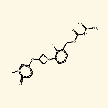 Cn1cc(OC2CN(c3cccc(COC(=O)NC(=N)N)c3F)C2)ccc1=O